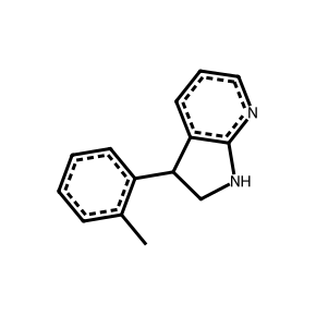 Cc1ccccc1C1CNc2ncccc21